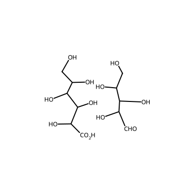 O=C(O)C(O)C(O)C(O)C(O)CO.O=CC(O)C(O)C(O)CO